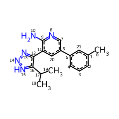 Cc1[c]ccc(-c2cnc(N)c(-c3nn[nH]c3C(C)C)c2)c1